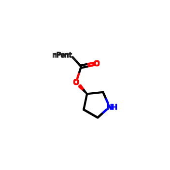 CCCCCC(=O)O[C@@H]1CCNC1